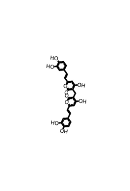 O=c1oc(C=Cc2ccc(O)c(O)c2)cc(O)c1Cc1c(O)cc(C=Cc2ccc(O)c(O)c2)oc1=O